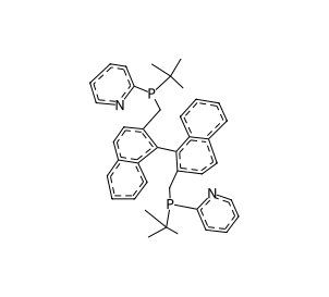 CC(C)(C)P(Cc1ccc2ccccc2c1-c1c(CP(c2ccccn2)C(C)(C)C)ccc2ccccc12)c1ccccn1